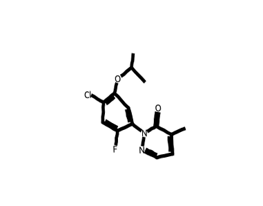 Cc1ccnn(-c2cc(OC(C)C)c(Cl)cc2F)c1=O